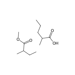 CCC(C)C(=O)OC.CCCC(C)C(=O)O